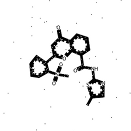 Cc1cnc(NC(=O)c2cccc3c(=O)cc(-c4ccccc4S(C)(=O)=O)oc23)s1